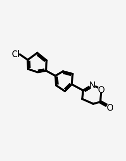 O=C1CCC(c2ccc(-c3ccc(Cl)cc3)cc2)=NO1